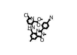 COC(=O)c1nc(Cl)ccc1N[C@H](C)c1cc(C)cc2c(=O)n(C)c(-c3ccc(C#N)cc3)nc12